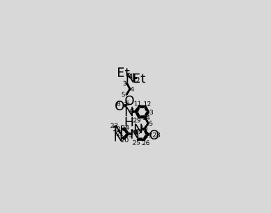 CCN(CC)CCCOC(=O)Nc1cccc(Cc2nn(-c3cnn(C)c3)ccc2=O)c1